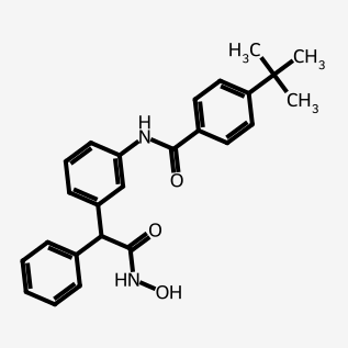 CC(C)(C)c1ccc(C(=O)Nc2cccc(C(C(=O)NO)c3ccccc3)c2)cc1